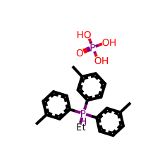 CC[PH](c1cccc(C)c1)(c1cccc(C)c1)c1cccc(C)c1.O=P(O)(O)O